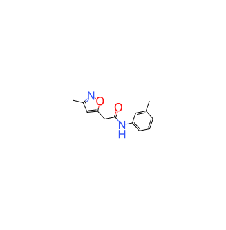 Cc1cccc(NC(=O)Cc2cc(C)no2)c1